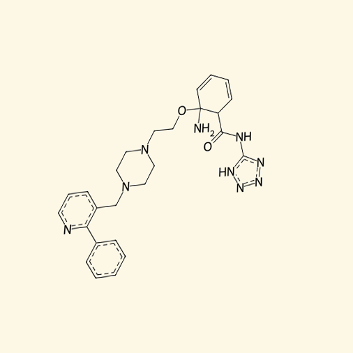 NC1(OCCN2CCN(Cc3cccnc3-c3ccccc3)CC2)C=CC=CC1C(=O)Nc1nnn[nH]1